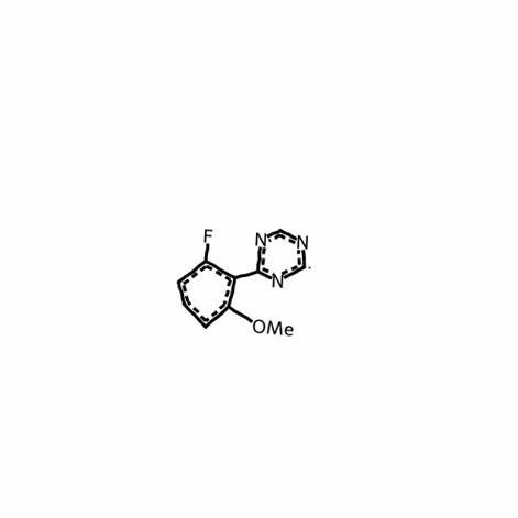 COc1cccc(F)c1-c1n[c]ncn1